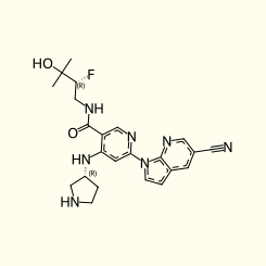 CC(C)(O)[C@H](F)CNC(=O)c1cnc(-n2ccc3cc(C#N)cnc32)cc1N[C@@H]1CCNC1